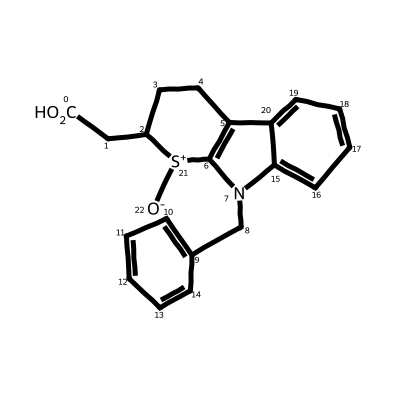 O=C(O)CC1CCc2c(n(Cc3ccccc3)c3ccccc23)[S+]1[O-]